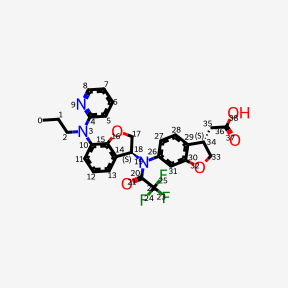 CCCN(c1ccccn1)c1cccc2c1OC[C@H]2N(C(=O)C(F)(F)F)c1ccc2c(c1)OC[C@H]2CC(=O)O